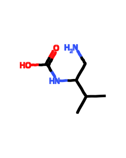 CC(C)C(CN)NC(=O)O